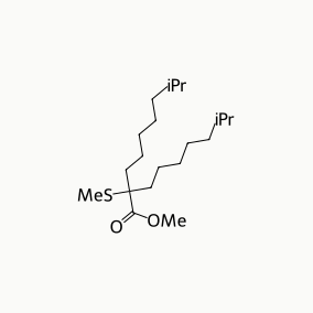 COC(=O)C(CCCCCC(C)C)(CCCCCC(C)C)SC